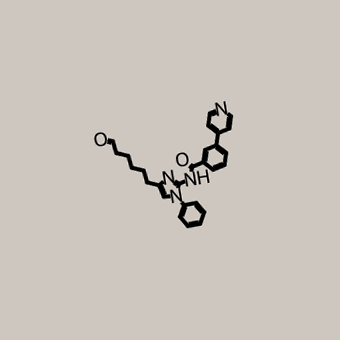 O=CCCCCCc1cn(-c2ccccc2)c(NC(=O)c2cccc(-c3ccncc3)c2)n1